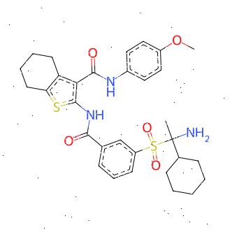 COc1ccc(NC(=O)c2c(NC(=O)c3cccc(S(=O)(=O)C(C)(N)C4CCCCC4)c3)sc3c2CCCC3)cc1